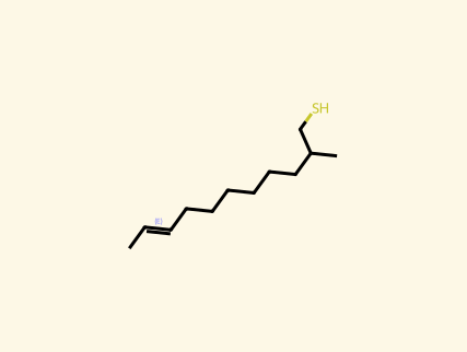 C/C=C/CCCCCCC(C)CS